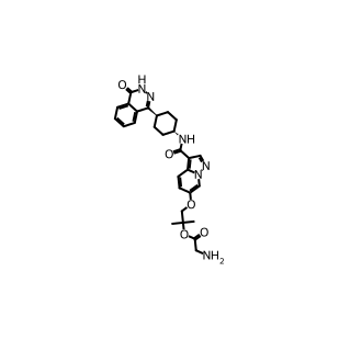 CC(C)(COc1ccc2c(C(=O)N[C@H]3CC[C@H](c4n[nH]c(=O)c5ccccc54)CC3)cnn2c1)OC(=O)CN